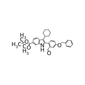 CC(C)(C)OC(=O)c1ccc2c(C3CCCCC3)c(-c3ccc(OCc4ccccc4)cc3C=O)[nH]c2c1